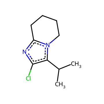 CC(C)c1c(Cl)nc2n1CCCC2